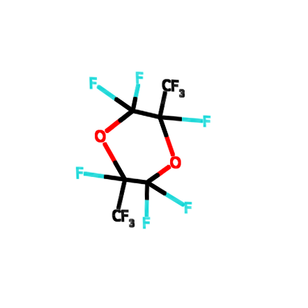 FC(F)(F)C1(F)OC(F)(F)C(F)(C(F)(F)F)OC1(F)F